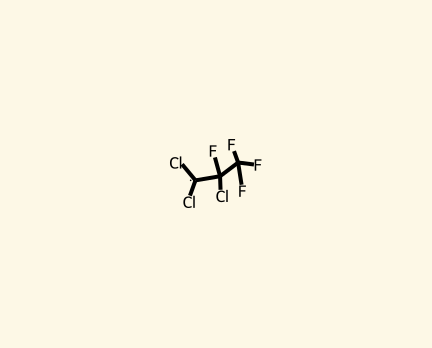 FC(F)(F)C(F)(Cl)[C](Cl)Cl